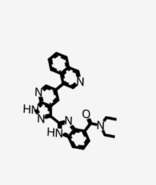 CCN(CC)C(=O)c1cccc2[nH]c(-c3n[nH]c4ncc(-c5cncc6ccccc56)cc34)nc12